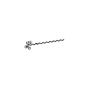 CCCCCCCCCCCCCCCC=CCCCC(CC)(P(=O)=O)[N+](C)(C)C